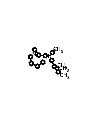 Cc1ccc(N(c2ccc(-c3ccc4c(c3)C(C)(C)c3cc(C)ccc3-4)cc2)c2ccc(-c3ccc4c(c3)c3ccccc3n4-c3cccc(-c4cccc(-c5cccc(-c6ccccc6)c5)c4)c3)cc2)cc1